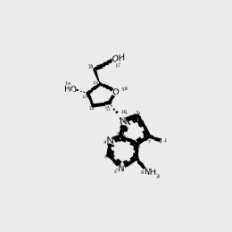 Nc1ncnc2c1c(I)cn2[C@@H]1C[C@H](O)[C@@H](CO)O1